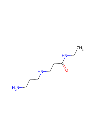 CCNC(=O)CCNCCCN